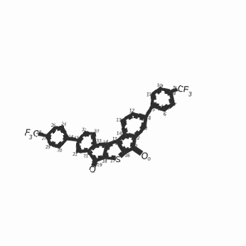 O=c1c2cc(-c3ccc(C(F)(F)F)cc3)ccc2c2c1sc1c(=O)c3cc(-c4ccc(C(F)(F)F)cc4)ccc3c12